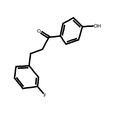 O=C(CCc1cccc(F)c1)c1ccc(O)cc1